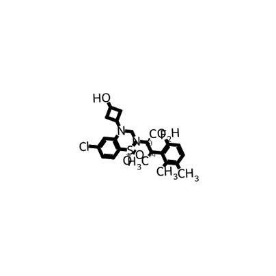 Cc1ccc(F)c([C@@H](C)[C@@H](C(=O)O)N2CN(C3CC(O)C3)c3cc(Cl)ccc3S2(=O)=O)c1C